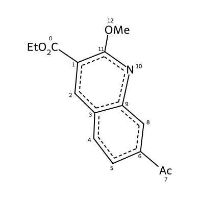 CCOC(=O)c1cc2ccc(C(C)=O)cc2nc1OC